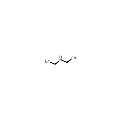 N#C[CH]N[CH]C#N